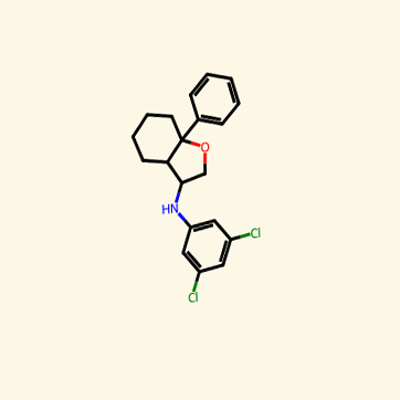 Clc1cc(Cl)cc(NC2COC3(c4ccccc4)CCCCC23)c1